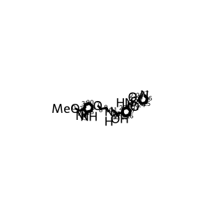 COc1n[nH]c2cc(OCCNC[C@H](O)c3cccc(NS(=O)(=O)c4cccnc4)c3)ccc12